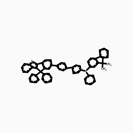 CC1(C)c2ccccc2-c2ccc(N(c3ccccc3)c3ccc(-c4ccc(-c5ccc6c(c5)C(c5ccccc5)(c5ccccc5)c5c-6sc6ccccc56)cc4)cc3)cc21